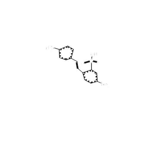 Nc1ccc(C=Cc2ccc(N)cc2S(=O)(=O)O)cc1